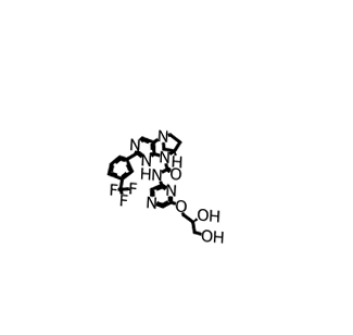 O=C(Nc1cncc(OC[C@@H](O)CO)n1)N1c2nc(-c3cccc(C(F)(F)F)c3)ncc2N2CC[C@H]1C2